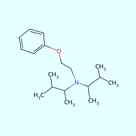 CC(C)C(C)N(CCOc1cc[c]cc1)C(C)C(C)C